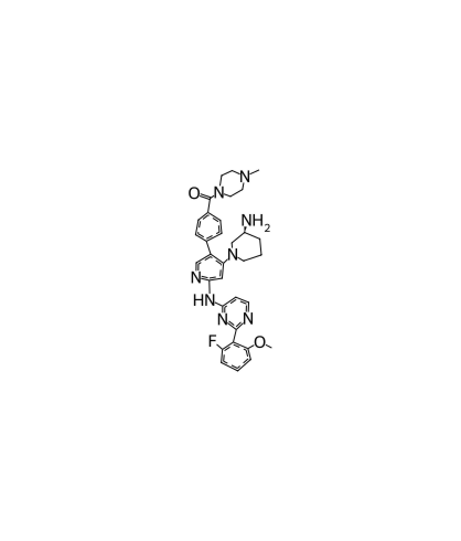 COc1cccc(F)c1-c1nccc(Nc2cc(N3CCC[C@H](N)C3)c(-c3ccc(C(=O)N4CCN(C)CC4)cc3)cn2)n1